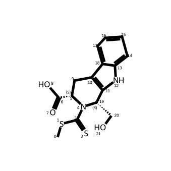 CSC(=S)N1[C@H](C(=O)O)Cc2c([nH]c3ccccc23)[C@@H]1CO